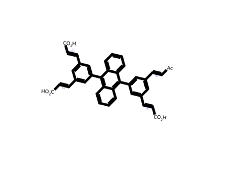 CC(=O)/C=C/c1cc(/C=C/C(=O)O)cc(-c2c3ccccc3c(-c3cc(/C=C/C(=O)O)cc(/C=C/C(=O)O)c3)c3ccccc23)c1